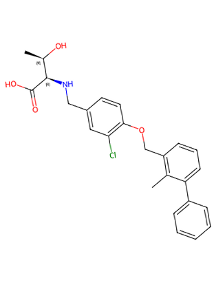 Cc1c(COc2ccc(CN[C@@H](C(=O)O)[C@@H](C)O)cc2Cl)cccc1-c1ccccc1